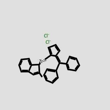 CC1=Cc2ccccc2[CH]1[Zr+2][C]1=CC=CC1=C(c1ccccc1)c1ccccc1.[Cl-].[Cl-]